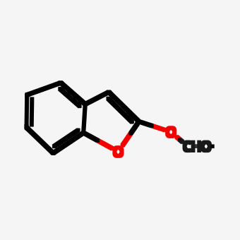 O=[C]Oc1cc2ccccc2o1